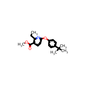 CCc1nc(Oc2ccc(C(C)(C)C)cc2)ccc1C(=O)OC